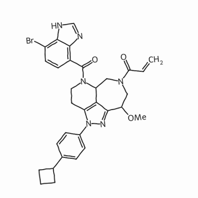 C=CC(=O)N1CC(OC)c2nn(-c3ccc(C4CCC4)cc3)c3c2C(C1)N(C(=O)c1ccc(Br)c2[nH]cnc12)CC3